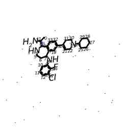 C/C(N)=C1/NCCC(Nc2cccc(Cl)c2F)c2cc(C3=CCN(C4CCCCC4)CC3)ccc21